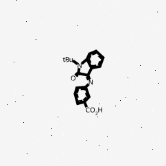 CC(C)(C)N1C(=O)/C(=N\c2cccc(C(=O)O)c2)c2ccccc21